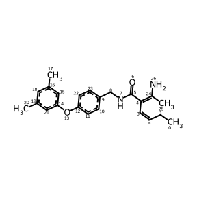 CC/C=C\C(C(=O)NCc1ccc(Oc2cc(C)cc(C)c2)cc1)=C(/C)N